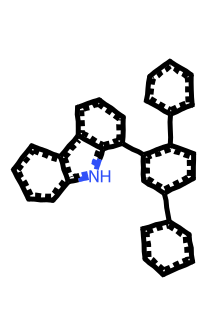 c1ccc(-c2ccc(-c3ccccc3)c(-c3cccc4c3[nH]c3ccccc34)c2)cc1